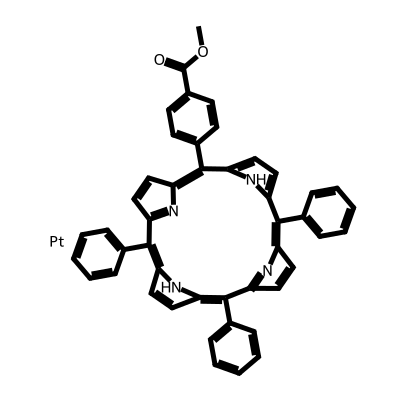 COC(=O)c1ccc(-c2c3nc(c(-c4ccccc4)c4ccc([nH]4)c(-c4ccccc4)c4nc(c(-c5ccccc5)c5ccc2[nH]5)C=C4)C=C3)cc1.[Pt]